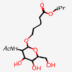 CC(=O)NC1C(OCCCCC(=O)OC(C)C)OC(CO)C(O)C1O